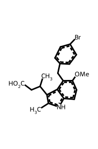 COc1ccc2[nH]c(C)c(C(C)CC(=O)O)c2c1Cc1ccc(Br)cc1